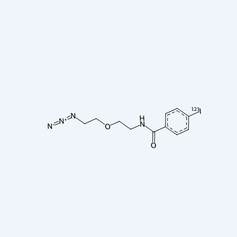 [N-]=[N+]=NCCOCCNC(=O)c1ccc([123I])cc1